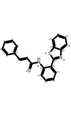 O=C(/C=C/c1ccccc1)Nc1ccccc1-c1nc2ccccc2s1